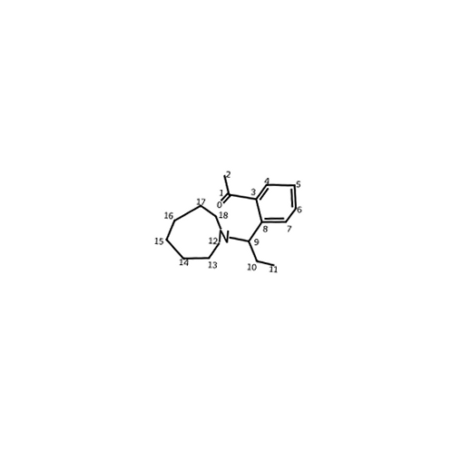 C=C(C)c1ccccc1C(CC)N1CCCCCC1